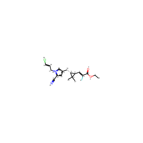 CCOC(=O)/C(F)=C/C1[C@@H](Cc2cc(C#N)n(CC=CCl)c2)C1(C)C